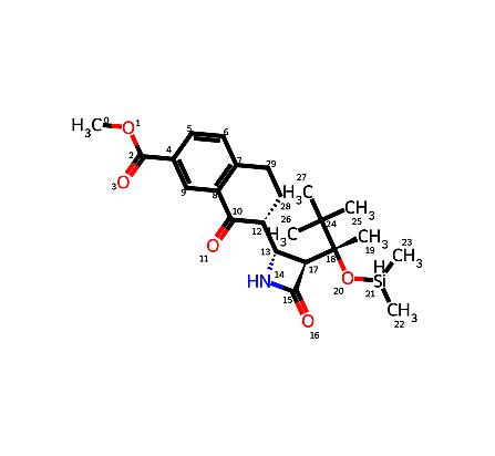 COC(=O)c1ccc2c(c1)C(=O)[C@@H]([C@H]1NC(=O)[C@@H]1[C@@](C)(O[SiH](C)C)C(C)(C)C)CC2